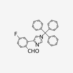 O=Cc1ccc(F)cc1-c1cn(C(c2ccccc2)(c2ccccc2)c2ccccc2)cn1